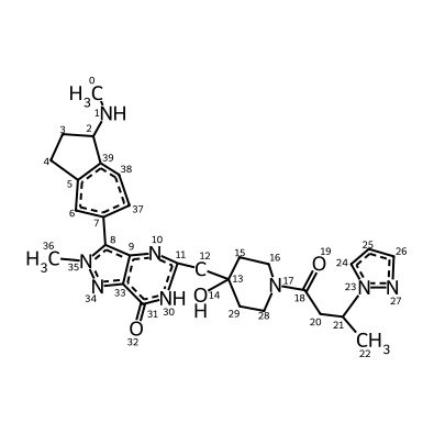 CNC1CCc2cc(-c3c4nc(CC5(O)CCN(C(=O)CC(C)n6cccn6)CC5)[nH]c(=O)c4nn3C)ccc21